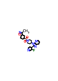 Cc1noc2ccc(S(=O)(=O)N3CCC(n4c(-c5ccncc5F)nc5cccnc54)CC3)cc12